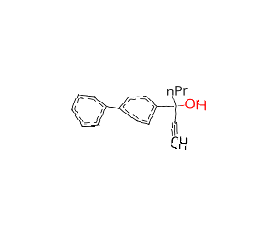 C#CC(O)(CCC)c1ccc(-c2ccccc2)cc1